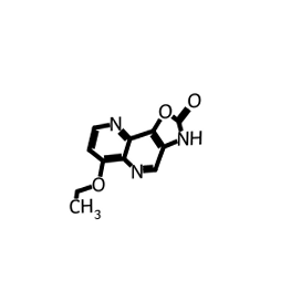 CCOc1ccnc2c1ncc1[nH]c(=O)oc12